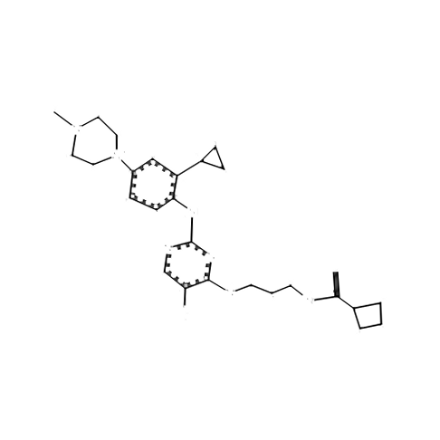 CN1CCN(c2ccc(Nc3ncc(Br)c(NCCCNC(=O)C4CCC4)n3)c(C3CC3)c2)CC1